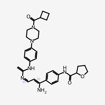 C=C(/N=C\C=C(/N)c1ccc(NC(=O)C2CCCO2)cc1)Nc1ccc(N2CCN(C(=O)C3CCC3)CC2)cc1